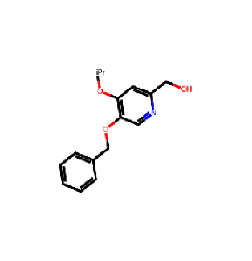 CC(C)Oc1cc(CO)ncc1OCc1ccccc1